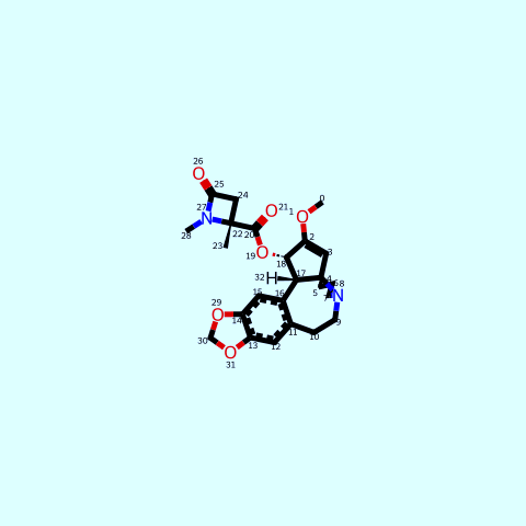 COC1=C[C@]23CCCN2CCc2cc4c(cc2[C@@H]3[C@@H]1OC(=O)[C@@]1(C)CC(=O)N1C)OCO4